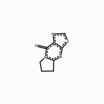 O=c1c2ncsc2nc2n1CCC2